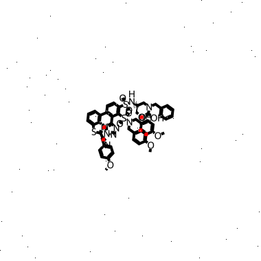 COc1ccc(CN(Cc2ccc(OC)cc2)S(=O)(=O)c2c(S(=O)(=O)N[C@H](CO)CN(Cc3ccccc3)C(=O)O)ccc(-c3cccc4sc(C#N)nc34)c2-c2nnn(Cc3ccc(OC)cc3)n2)cc1